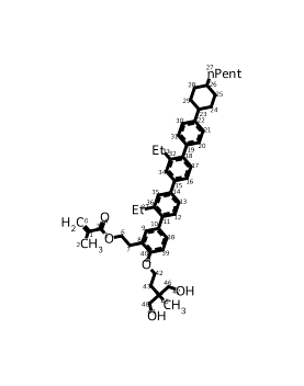 C=C(C)C(=O)OCCc1cc(-c2ccc(-c3ccc(-c4ccc(C5CCC(CCCCC)CC5)cc4)c(CC)c3)cc2CC)ccc1OCCC(C)(CO)CO